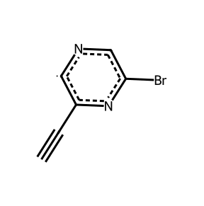 C#Cc1[c]ncc(Br)n1